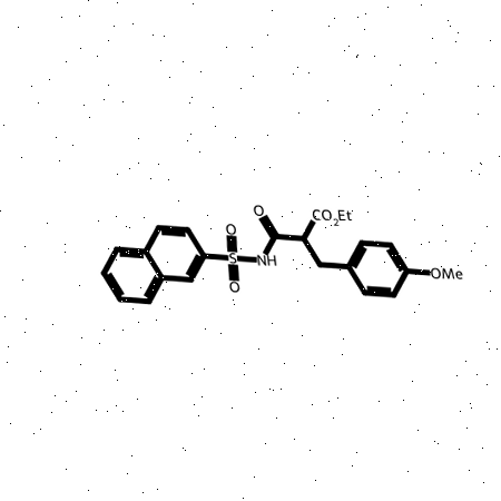 CCOC(=O)C(Cc1ccc(OC)cc1)C(=O)NS(=O)(=O)c1ccc2ccccc2c1